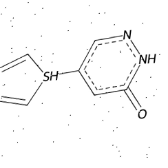 O=c1cc([SH]2C=CC=C2)cn[nH]1